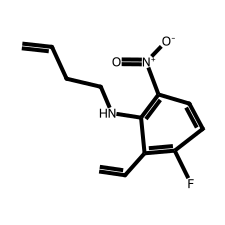 C=CCCNc1c([N+](=O)[O-])ccc(F)c1C=C